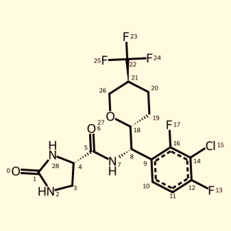 O=C1NC[C@@H](C(=O)N[C@@H](c2ccc(F)c(Cl)c2F)[C@H]2CC[C@H](C(F)(F)F)CO2)N1